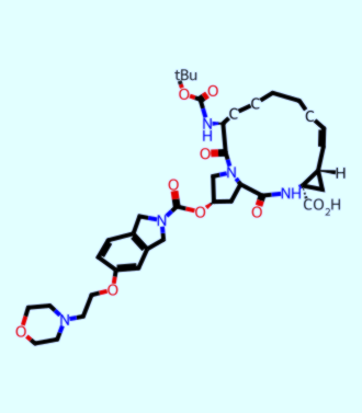 CC(C)(C)OC(=O)N[C@H]1CCCCC/C=C\[C@@H]2C[C@@]2(C(=O)O)NC(=O)C2C[C@@H](OC(=O)N3Cc4ccc(OCCN5CCOCC5)cc4C3)CN2C1=O